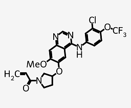 C=CC(=O)N1CCC(Oc2cc3c(Nc4ccc(OC(F)(F)F)c(Cl)c4)ncnc3cc2OC)C1